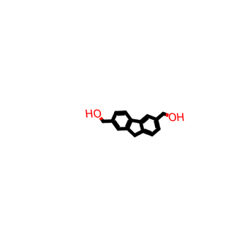 OCc1ccc2c(c1)Cc1ccc(CO)cc1-2